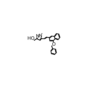 Cn1nc(CO)cc1/C=C/c1cc(OCc2ccccc2)c2ccccc2c1